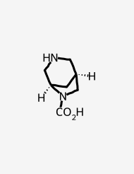 O=C(O)N1C[C@@H]2CNC[C@H]1C2